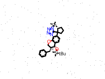 CC(C)(C)[Si](C)(C)O[C@H]1c2ccc(C3(c4nnn[n]4[Sn]([CH3])([CH3])[CH3])CCCC3)cc2OC[C@@H]1Cc1ccccc1